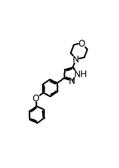 c1ccc(Oc2ccc(-c3cc(N4CCOCC4)[nH]n3)cc2)cc1